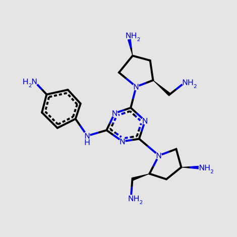 NC[C@@H]1C[C@H](N)CN1c1nc(Nc2ccc(N)cc2)nc(N2C[C@@H](N)C[C@H]2CN)n1